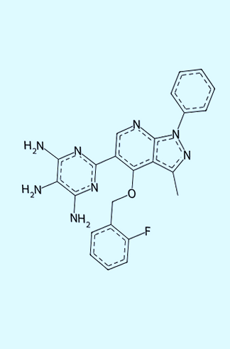 Cc1nn(-c2ccccc2)c2ncc(-c3nc(N)c(N)c(N)n3)c(OCc3ccccc3F)c12